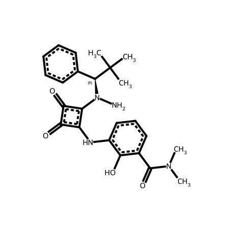 CN(C)C(=O)c1cccc(Nc2c(N(N)[C@@H](c3ccccc3)C(C)(C)C)c(=O)c2=O)c1O